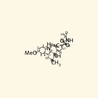 COc1ccc2[nH]c3c(c2c1)C[C@H](C)N[C@H]3c1ccc(S(=O)(=O)NC2CC2)cc1F